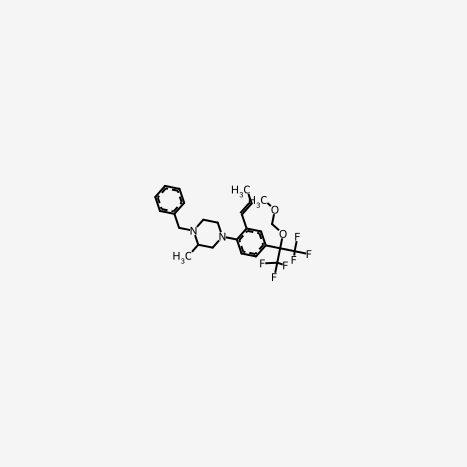 CC=Cc1cc(C(OCOC)(C(F)(F)F)C(F)(F)F)ccc1N1CCN(Cc2ccccc2)C(C)C1